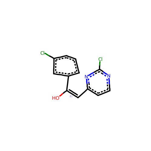 O/C(=C/c1ccnc(Cl)n1)c1cccc(Cl)c1